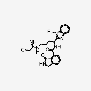 CCn1c(C(CCCNC(=N)CCl)NC(=O)c2cccc3c2C(=O)NC3)nc2ccccc21